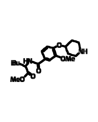 CCC(C)C(NC(=O)c1ccc(OC2CCNCC2)c(OC)c1)C(=O)OC